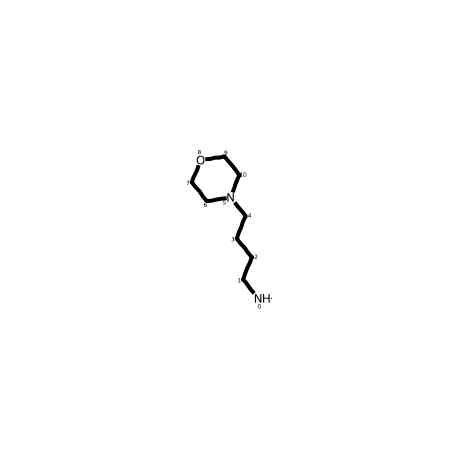 [NH]CCCCN1CCOCC1